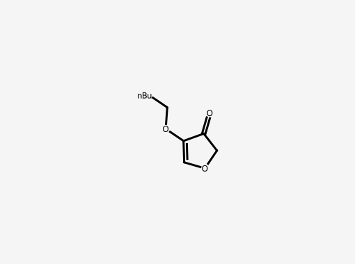 CCCCCOC1=COCC1=O